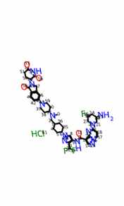 CN(CC1CCC(n2cc(NC(=O)c3cnn4ccc(N5C[C@H](N)C[C@@H](F)C5)nc34)c(C(F)F)n2)CC1)C1CCN(c2ccc3c(c2)CN(C2CCC(=O)NC2=O)C3=O)CC1.Cl